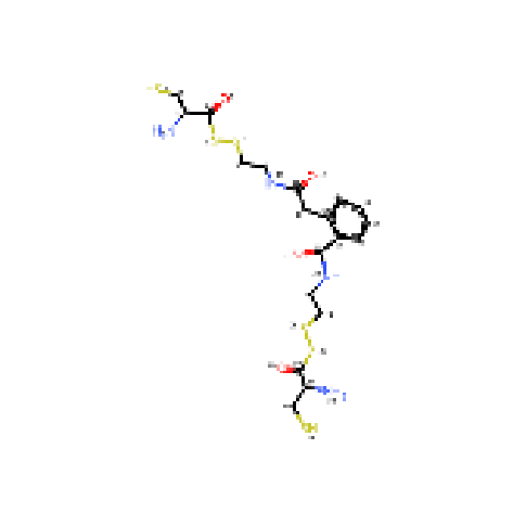 N[C@@H](CS)C(=O)SSCCNC(=O)Cc1ccccc1C(=O)NCCSSC(=O)[C@@H](N)CS